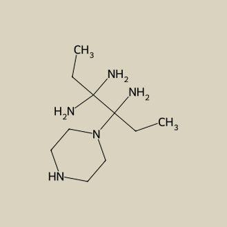 CCC(N)(N)C(N)(CC)N1CCNCC1